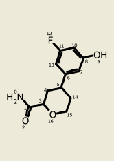 NC(=O)C1CC(c2cc(O)cc(F)c2)CCO1